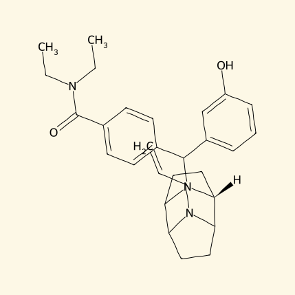 C=CCN1C2CCC1[C@H]1CCC2N1C(c1ccc(C(=O)N(CC)CC)cc1)c1cccc(O)c1